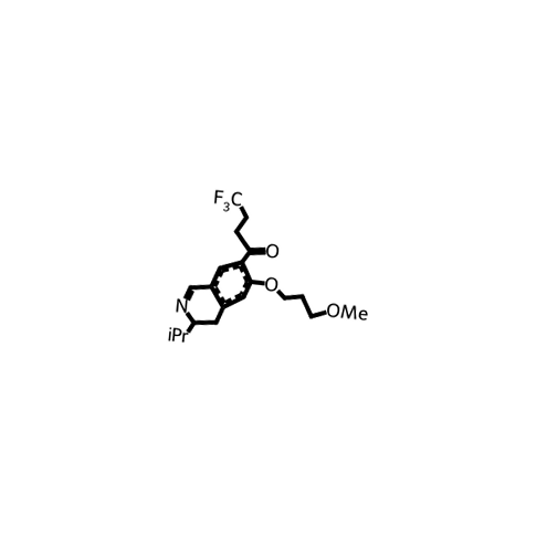 COCCCOc1cc2c(cc1C(=O)CCC(F)(F)F)C=NC(C(C)C)C2